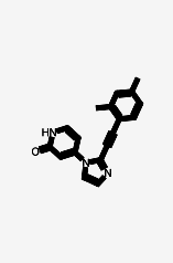 Cc1ccc(C#Cc2nccn2-c2cc[nH]c(=O)c2)c(C)c1